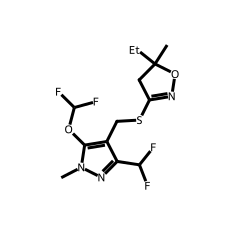 CCC1(C)CC(SCc2c(C(F)F)nn(C)c2OC(F)F)=NO1